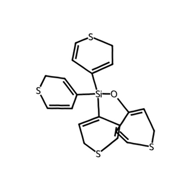 C1=CC(O[Si](C2=CCSC=C2)(C2=CCSC=C2)C2=CCSC=C2)=CCS1